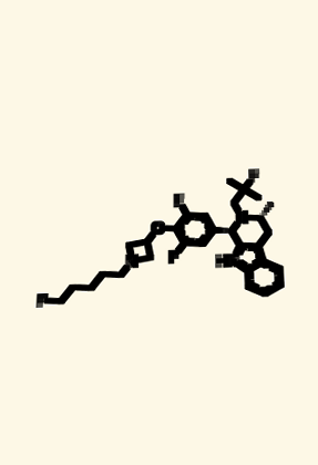 C[C@@H]1Cc2c([nH]c3ccccc23)[C@@H](c2cc(F)c(OC3CN(CCCCCF)C3)c(F)c2)N1CC(C)(C)F